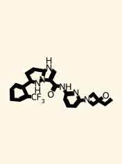 O=C(Nc1cccc(N2CC3(CCO3)C2)n1)C1=CNC2C=CC(c3ccccc3C(F)(F)F)NN12